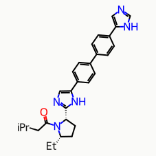 CC[C@H]1CC[C@@H](c2ncc(-c3ccc(-c4ccc(-c5cnc[nH]5)cc4)cc3)[nH]2)N1C(=O)CC(C)C